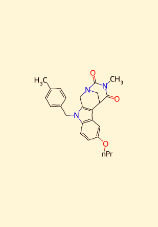 CCCOc1ccc2c(c1)c1c(n2Cc2ccc(C)cc2)CN2CC1C(=O)N(C)C2=O